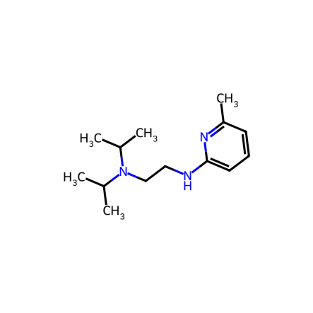 Cc1cccc(NCCN(C(C)C)C(C)C)n1